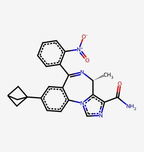 C[C@H]1N=C(c2ccccc2[N+](=O)[O-])c2cc(C34CC(C3)C4)ccc2-n2cnc(C(N)=O)c21